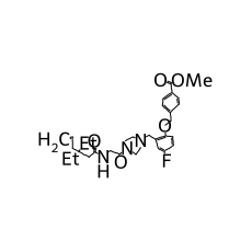 C=CCC(CC)(CC)CC(=O)NCC(=O)N1CCN(Cc2cc(F)ccc2OCc2ccc(C(=O)OC)cc2)CC1